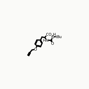 C#CCOc1ccc(CC(NC(=O)OC(C)(C)C)C(=O)O)cc1